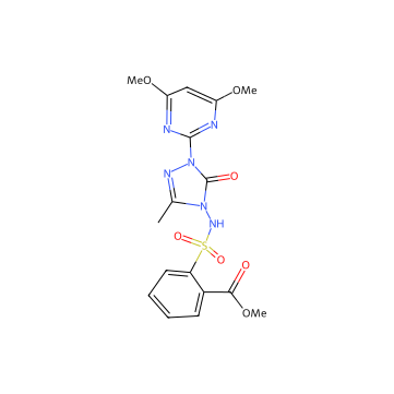 COC(=O)c1ccccc1S(=O)(=O)Nn1c(C)nn(-c2nc(OC)cc(OC)n2)c1=O